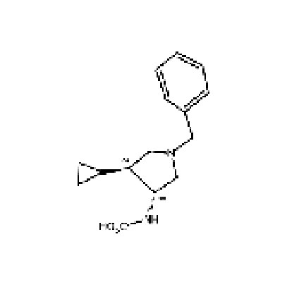 O=C(O)N[C@H]1CN(Cc2ccccc2)C[C@@H]1C1CC1